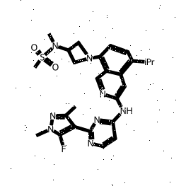 Cc1nn(C)c(F)c1-c1nccc(Nc2cc3c(C(C)C)ccc(N4CC(N(C)S(C)(=O)=O)C4)c3cn2)n1